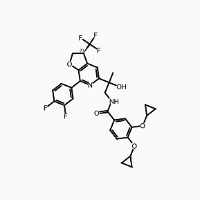 CC(O)(CNC(=O)c1ccc(OC2CC2)c(OC2CC2)c1)c1cc2c(c(-c3ccc(F)c(F)c3)n1)OC[C@H]2C(F)(F)F